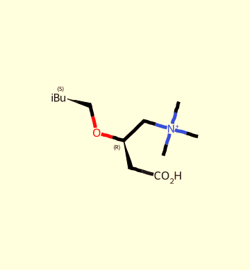 CC[C@H](C)CO[C@H](CC(=O)O)C[N+](C)(C)C